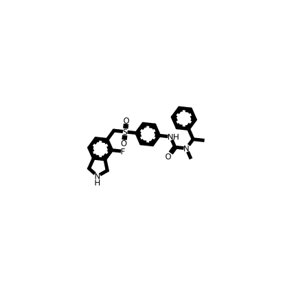 CC(c1ccccc1)N(C)C(=O)Nc1ccc(S(=O)(=O)Cc2ccc3c(c2F)CNC3)cc1